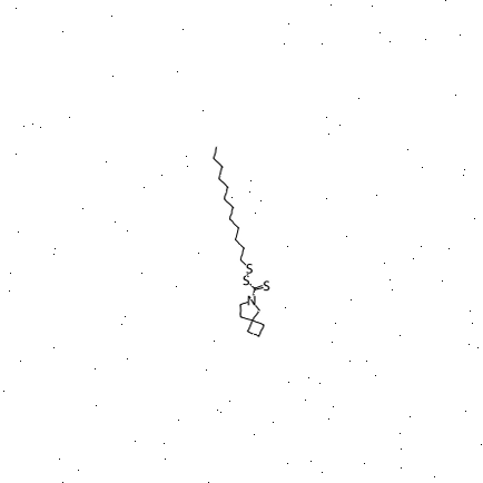 CCCCCCCCCCCCSSC(=S)N1CCC2(CCC2)C1